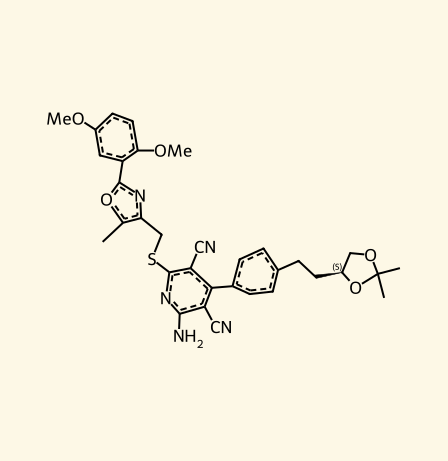 COc1ccc(OC)c(-c2nc(CSc3nc(N)c(C#N)c(-c4ccc(CC[C@H]5COC(C)(C)O5)cc4)c3C#N)c(C)o2)c1